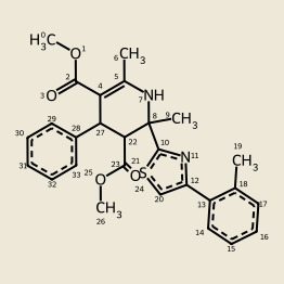 COC(=O)C1=C(C)NC(C)(c2nc(-c3ccccc3C)cs2)C(C(=O)OC)C1c1ccccc1